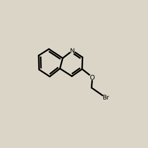 BrCOc1cnc2ccccc2c1